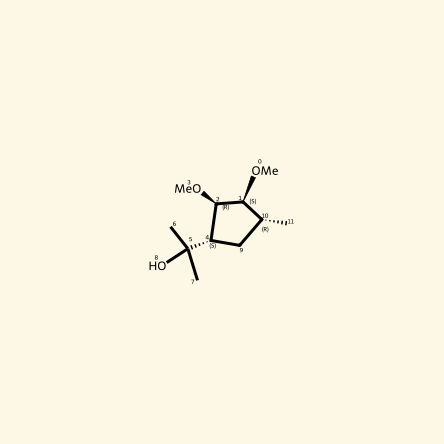 CO[C@@H]1[C@H](OC)[C@@H](C(C)(C)O)C[C@H]1C